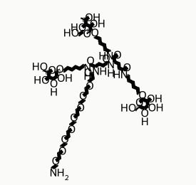 C[C@@H](O)C(O)C(O)[C@H](OCCO)OCCCCCCNC(=O)C(CCC(=O)NCCCCCCO[C@H]1O[C@H](CO)C(O)C(O)C1O)NC(=O)CCC(NC(=O)CCOCCOCCOCCOCCOCCOCCOCCOCCN)C(=O)NCCCCCCO[C@H]1O[C@H](CO)C(O)C(O)C1O